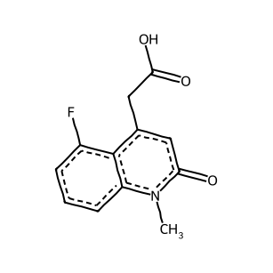 Cn1c(=O)cc(CC(=O)O)c2c(F)cccc21